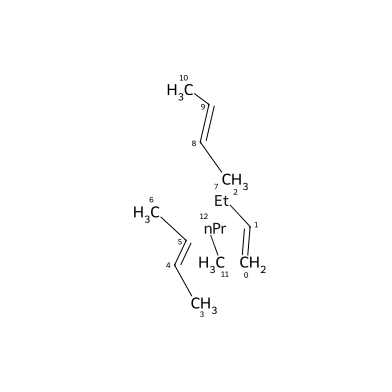 C=CCC.CC=CC.CC=CC.CCCC